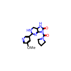 COc1cncc(C2N=C3C(CN2)NC(=O)N3C(=O)N2CCCC2)c1